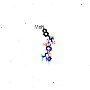 CNC1Cc2ccc(-c3snc4c(=O)n(CC5(O)CCN(C(=O)CC(C(F)F)n6ccc(F)n6)CC5)cnc34)cc2C1